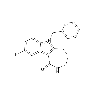 O=C1NCCCc2c1c1cc(F)ccc1n2Cc1ccccc1